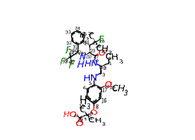 CC[C@@H](CNc1ccc(OC(C)(C)C(=O)O)cc1OC)NC(=O)[C@H](CC(C)(C)F)N[C@@H](c1ccccc1)C(F)(F)F